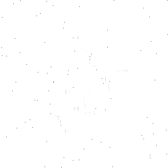 OB(O)O.OB(O)O.OB(O)O.OB(O)O.[BiH3]